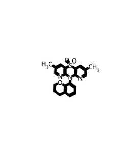 Cc1cnc2c(c1)S(=O)(=O)c1cc(C)cnc1N2c1cccc2c1OCCC2